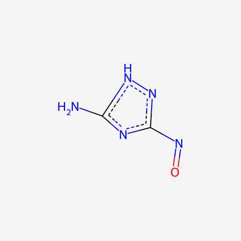 Nc1nc(N=O)n[nH]1